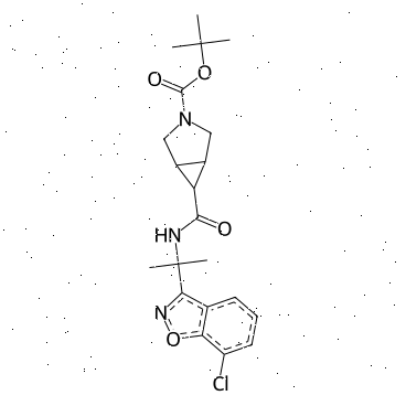 CC(C)(C)OC(=O)N1CC2C(C1)C2C(=O)NC(C)(C)c1noc2c(Cl)cccc12